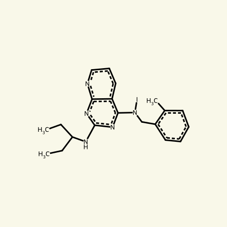 CCC(CC)Nc1nc(N(I)Cc2ccccc2C)c2cccnc2n1